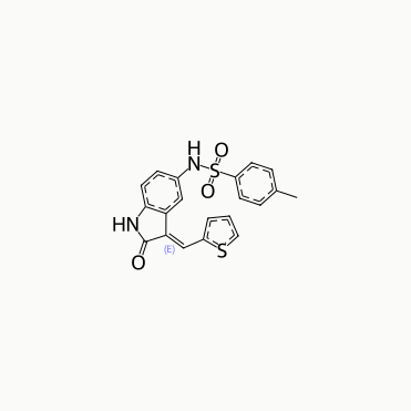 Cc1ccc(S(=O)(=O)Nc2ccc3c(c2)/C(=C\c2cccs2)C(=O)N3)cc1